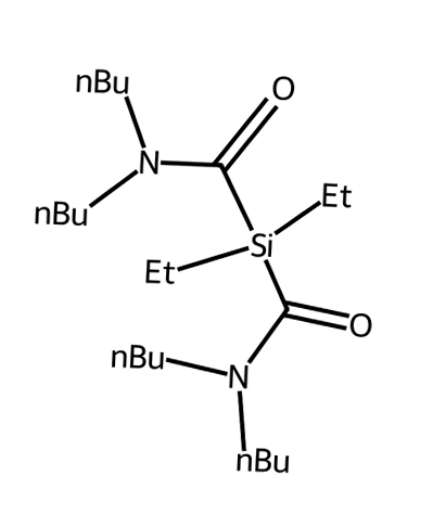 CCCCN(CCCC)C(=O)[Si](CC)(CC)C(=O)N(CCCC)CCCC